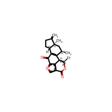 C=C1CC[C@H]2C3=C([C@H](C)C[C@]12C)[C@]1(C)c2c(coc2C3=O)C(=O)O[C@@H]1CC